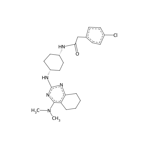 CN(C)c1nc(N[C@H]2CC[C@@H](NC(=O)Cc3ccc(Cl)cc3)CC2)nc2c1CCCC2